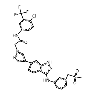 CS(=O)(=O)Cc1cccc(Nc2n[nH]c3cc(-c4cnn(CC(=O)Nc5ccc(Cl)c(C(F)(F)F)c5)c4)ccc23)c1